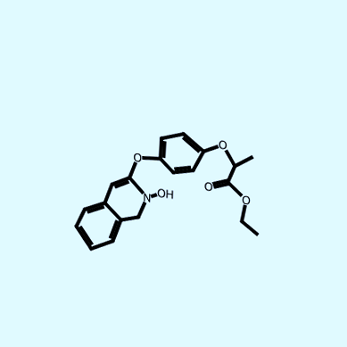 CCOC(=O)C(C)Oc1ccc(OC2=Cc3ccccc3CN2O)cc1